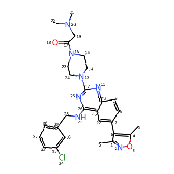 Cc1noc(C)c1-c1ccc2nc(N3CCN(C(=O)CN(C)C)CC3)nc(NCc3cccc(Cl)c3)c2c1